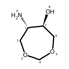 N[C@H]1COCOC[C@@H]1O